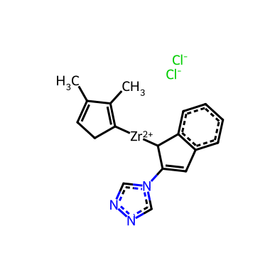 CC1=CC[C]([Zr+2][CH]2C(n3cnnc3)=Cc3ccccc32)=C1C.[Cl-].[Cl-]